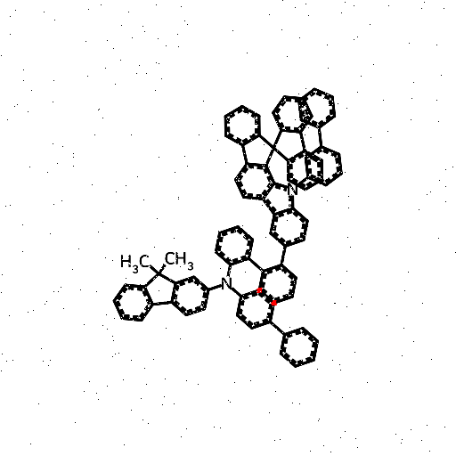 CC1(C)c2ccccc2-c2ccc(N(c3ccc(-c4ccccc4)cc3)c3ccccc3-c3ccccc3-c3ccc4c(c3)c3ccc5c(c3n4-c3cccc(-c4ccccc4)c3)C3(c4ccccc4-c4ccccc43)c3ccccc3-5)cc21